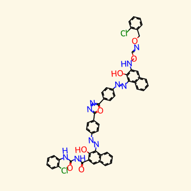 O=C(NC(=O)c1cc2ccccc2c(N=Nc2ccc(-c3nnc(-c4ccc(N=Nc5c(O)c(NO/C=N/OCc6ccccc6Cl)cc6ccccc56)cc4)o3)cc2)c1O)Nc1ccccc1Cl